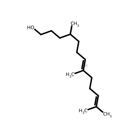 CC(C)=CCC/C(C)=C/CCC(C)CCCO